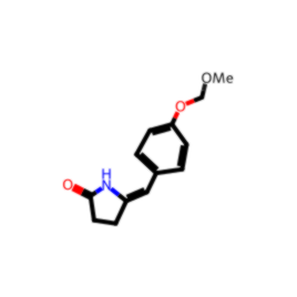 COCOc1ccc(C=C2CCC(=O)N2)cc1